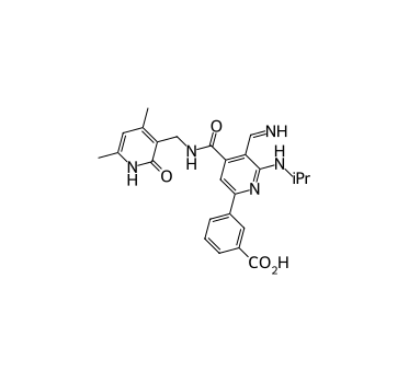 Cc1cc(C)c(CNC(=O)c2cc(-c3cccc(C(=O)O)c3)nc(NC(C)C)c2C=N)c(=O)[nH]1